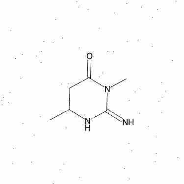 CC1CC(=O)N(C)C(=N)N1